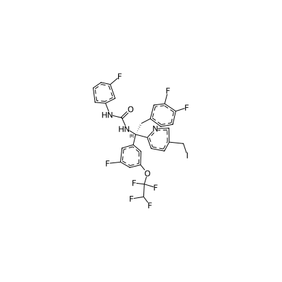 O=C(Nc1cccc(F)c1)N[C@](Cc1ccc(F)c(F)c1)(c1cc(F)cc(OC(F)(F)C(F)F)c1)c1ccc(CI)cn1